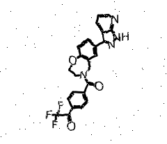 O=C(c1ccc(C(=O)C(F)(F)F)cc1)N1CCOc2ccc(-c3n[nH]c4ncccc34)cc2C1